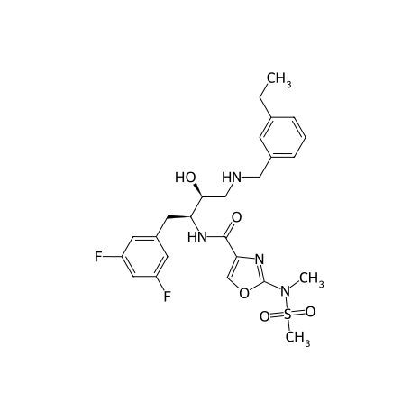 CCc1cccc(CNC[C@H](O)[C@H](Cc2cc(F)cc(F)c2)NC(=O)c2coc(N(C)S(C)(=O)=O)n2)c1